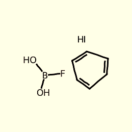 I.OB(O)F.c1ccccc1